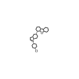 Clc1ccc(-n2ccc3cc(-c4cccc5c4oc4ccccc45)ccc32)cc1